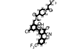 CN(Cc1cc(Cl)cc(-c2cc(-c3cc(C(F)(F)F)ccc3Cl)c(C#N)c(=O)[nH]2)c1O)C(=O)C1CCN(C(=O)CCC(F)(F)F)CC1